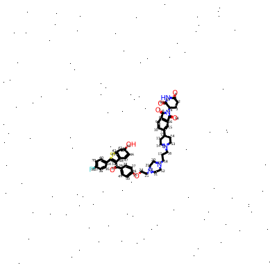 O=C1CCC(N2C(=O)c3ccc(C4CCN(CCCN5CCN(CCOc6ccc(C(=O)c7c(-c8ccc(F)cc8)sc8cc(O)ccc78)cc6)CC5)CC4)cc3C2=O)C(=O)N1